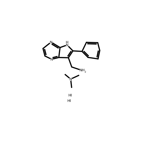 CN(C)C.I.I.NCc1c(-c2ccccc2)[nH]c2nccnc12